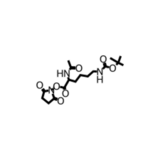 CC(=O)NC(CCCCNC(=O)OC(C)(C)C)C(=O)ON1C(=O)CCC1=O